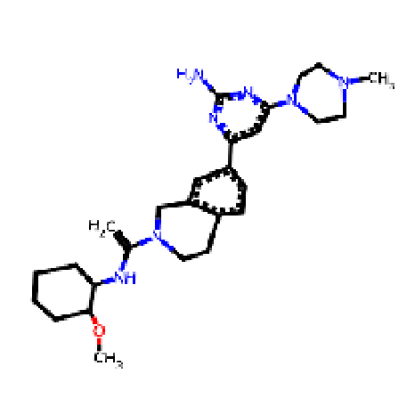 C=C(NC1CCCCC1OC)N1CCc2ccc(-c3cc(N4CCN(C)CC4)nc(N)n3)cc2C1